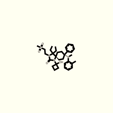 CCC1(CC)N(CCS(C)(=O)=O)C(=O)N(C2(O)CCC2)[C@]12CC[C@@](c1ccccc1)(N(C)c1ccccc1C)CC2